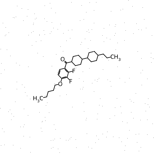 CCCCCOc1ccc(C(=O)C2CCC(C3CCC(CCC)CC3)CC2)c(F)c1F